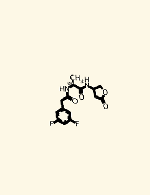 C[C@H](NC(=O)Cc1cc(F)cc(F)c1)C(=O)NC1COC(=O)C1